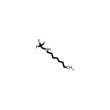 CCCCCCCCNCC(F)(F)F